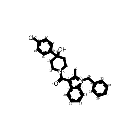 Cc1c(C(=O)N2CCC(O)(c3ccc(Cl)cc3)CC2)c2ccccc2n1Cc1ccccc1